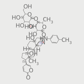 Cc1ccc(N/N=C/[C@]23CC[C@H](O[C@@H]4OC(C)[C@H](O[C@@H]5OC(CO)[C@@H](O)C(O)C5O)C(O)C4O)C[C@@]2(O)CC[C@@H]2[C@@H]3CC[C@]3(C)[C@@H](c4ccc(=O)oc4)CC[C@]23O)cc1